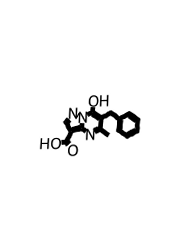 Cc1nc2c(C(=O)O)cnn2c(O)c1Cc1ccccc1